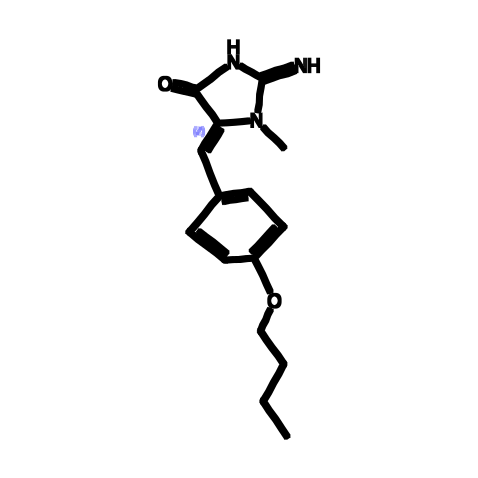 CCCCOc1ccc(/C=C2/C(=O)NC(=N)N2C)cc1